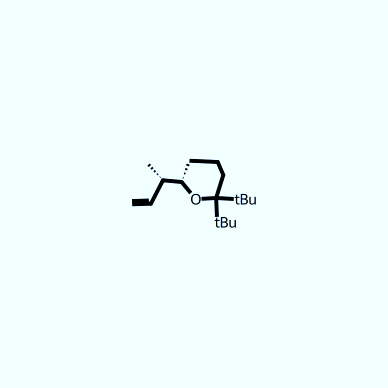 C=C[C@H](C)[C@@H]1CCCC(C(C)(C)C)(C(C)(C)C)O1